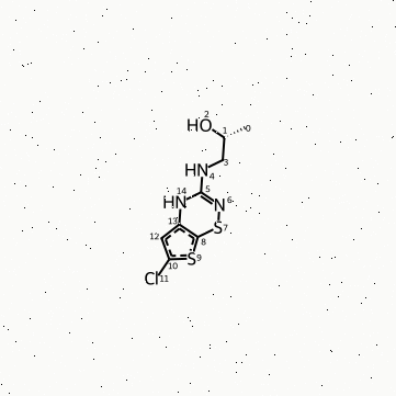 C[C@@H](O)CNC1=NSc2sc(Cl)cc2N1